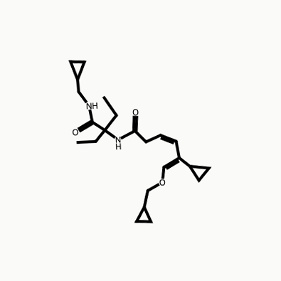 CCC(CC)(NC(=O)C/C=C\C(=C\OCC1CC1)C1CC1)C(=O)NCC1CC1